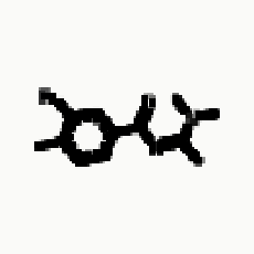 CC(=NC(=O)c1ccc(C)c(Br)c1)N(C)C